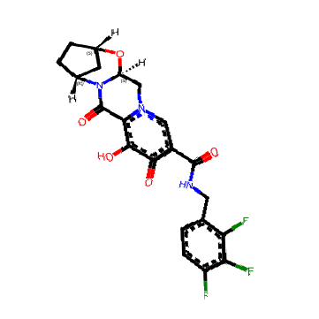 O=C(NCc1ccc(F)c(F)c1F)c1cn2c(c(O)c1=O)C(=O)N1[C@@H]3CC[C@@H](C3)O[C@H]1C2